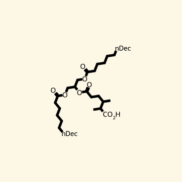 CCCCCCCCCCCCCCCC(=O)OCC(COC(=O)CCCCCCCCCCCCCCC)OC(=O)CCC(C)C(C)C(=O)O